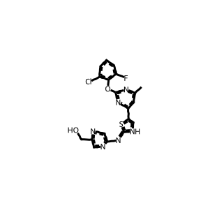 Cc1cc(-c2c[nH]/c(=N/c3cnc(CO)cn3)s2)nc(Oc2c(F)cccc2Cl)n1